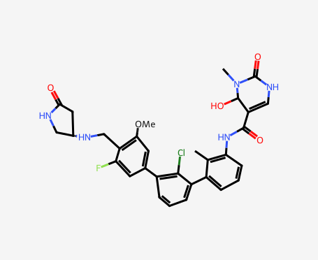 COc1cc(-c2cccc(-c3cccc(NC(=O)C4=CNC(=O)N(C)C4O)c3C)c2Cl)cc(F)c1CN[C@@H]1CNC(=O)C1